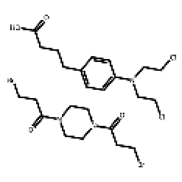 O=C(CCBr)N1CCN(C(=O)CCBr)CC1.O=C(O)CCCc1ccc(N(CCCl)CCCl)cc1